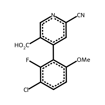 COc1ccc(Cl)c(F)c1-c1cc(C#N)ncc1C(=O)O